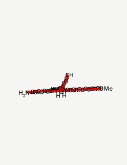 C#CCOCCOCCOCCOCCC(=O)N(CC(=O)NCCOCCOCCOCCOCCOCCOCCOCCOCCOCCOCCOCCOC)CC(=O)NCCN(N)/C=C(\N)COCCOCCOCCOCCOCCOCCOCCCCN